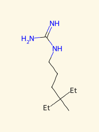 CCC(C)(CC)CCCNC(=N)N